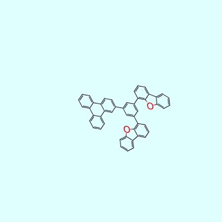 c1ccc2c(c1)oc1c(-c3cc(-c4ccc5c6ccccc6c6ccccc6c5c4)cc(-c4cccc5c4oc4ccccc45)c3)cccc12